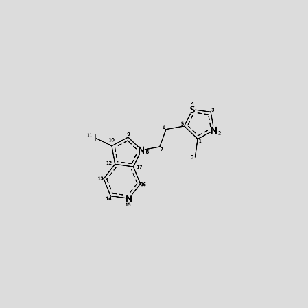 Cc1ncsc1CCn1cc(I)c2ccncc21